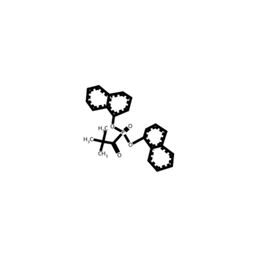 CC(C)(C)C(=O)P(=O)(Oc1cccc2ccccc12)Oc1cccc2ccccc12